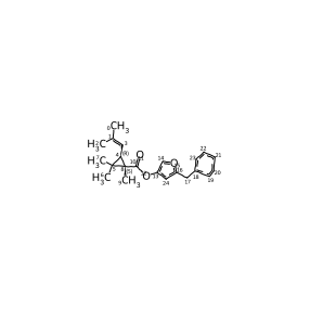 CC(C)=C[C@@H]1C(C)(C)[C@@]1(C)C(=O)Oc1coc(Cc2ccccc2)c1